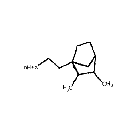 CCCCCCCCC12CCC(C1)C(C)C2C